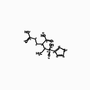 CC(C(CCC(=O)O)C(=O)O)P(=O)(O)c1ccsc1